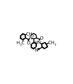 Cc1ccc(C#N)c(NC(=O)C2CCCN(C(=O)c3c(C)cccc3C)C2c2ccccc2)c1